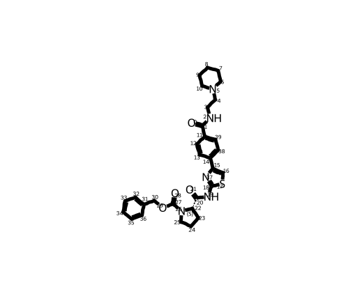 O=C(NCCN1CCCCC1)c1ccc(-c2csc(NC(=O)[C@@H]3CCCN3C(=O)OCc3ccccc3)n2)cc1